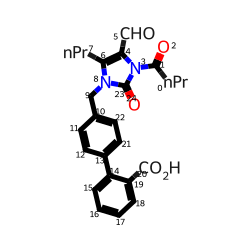 CCCC(=O)n1c(C=O)c(CCC)n(Cc2ccc(-c3ccccc3C(=O)O)cc2)c1=O